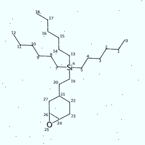 CCCCCC[Si](CCCCCC)(CCCCCC)CCC1CCC2OC2C1